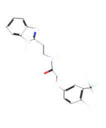 O=C(COc1ccc(F)c(C(F)(F)F)c1)NCCc1nc2ccccc2[nH]1